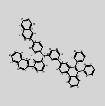 c1ccc(-c2c(-c3ccccc3)c3cc(-c4cccc(N(c5ccc(-c6ccc7ccccc7c6)cc5)c5cccc6c5oc5c7ccccc7ccc65)c4)ccc3c3ccccc23)cc1